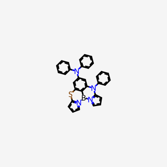 c1ccc(N(c2ccccc2)c2cc3c4c(c2)N(c2ccccc2)c2cccn2B4n2cccc2S3)cc1